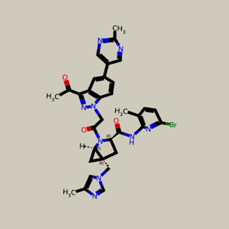 CC(=O)c1nn(CC(=O)N2[C@@H](C(=O)Nc3nc(Br)ccc3C)C[C@@]3(Cn4cnc(C)c4)C[C@@H]23)c2ccc(-c3cnc(C)nc3)cc12